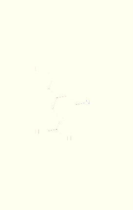 COCC(COC(C)C)OCN